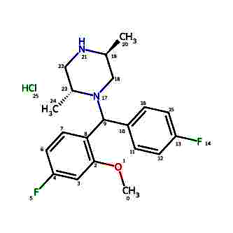 COc1cc(F)ccc1C(c1ccc(F)cc1)N1C[C@H](C)NC[C@H]1C.Cl